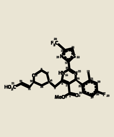 COC(=O)C1=C(CN2CCO[C@H](/C=C/C(=O)O)C2)NC(c2nc(C(F)(F)F)cs2)=N[C@H]1c1ccc(F)cc1C